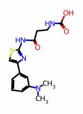 CN(C)c1cccc(-c2csc(NC(=O)CCNC(=O)O)n2)c1